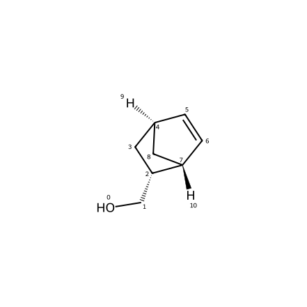 OC[C@@H]1C[C@H]2C=C[C@H]1C2